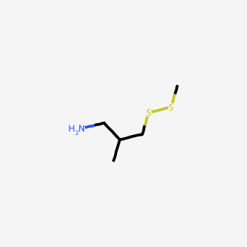 CSSCC(C)CN